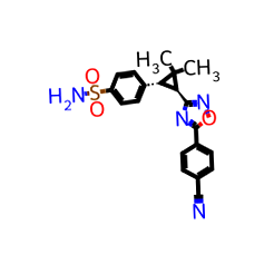 CC1(C)[C@@H](c2ccc(S(N)(=O)=O)cc2)[C@@H]1c1noc(-c2ccc(C#N)cc2)n1